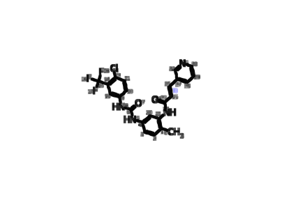 Cc1ccc(NC(=O)Nc2ccc(Cl)c(C(F)(F)F)c2)cc1NC(=O)/C=C/c1cccnc1